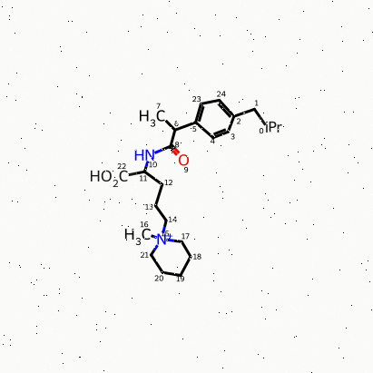 CC(C)Cc1ccc(C(C)C(=O)NC(CCC[N+]2(C)CCCCC2)C(=O)O)cc1